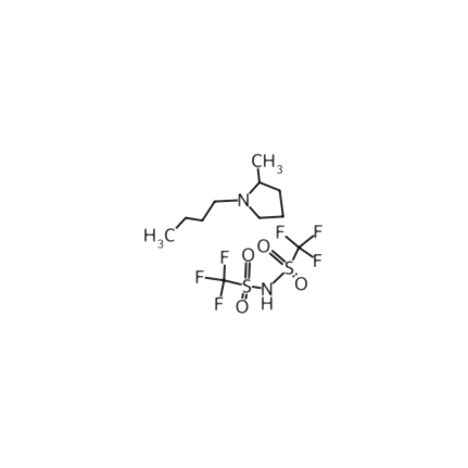 CCCCN1CCCC1C.O=S(=O)(NS(=O)(=O)C(F)(F)F)C(F)(F)F